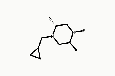 C[C@@H]1CN(F)[C@@H](C)CN1CC1CC1